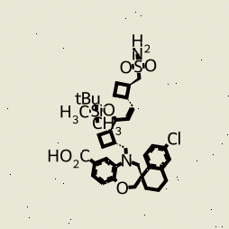 CC(C)(C)[Si](C)(C)OC(/C=C\[C@@H]1CC[C@H]1CS(N)(=O)=O)[C@@H]1CC[C@H]1CN1C[C@@]2(CCCc3cc(Cl)ccc32)COc2ccc(C(=O)O)cc21